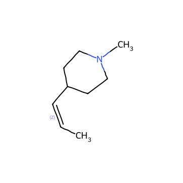 C/C=C\C1CCN(C)CC1